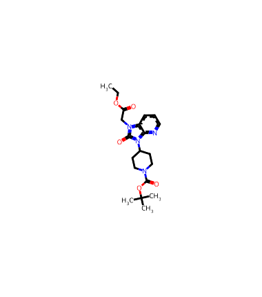 CCOC(=O)Cn1c(=O)n(C2CCN(C(=O)OC(C)(C)C)CC2)c2ncccc21